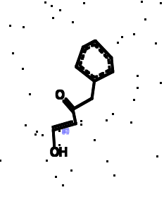 O=C(/C=C/O)Cc1ccccc1